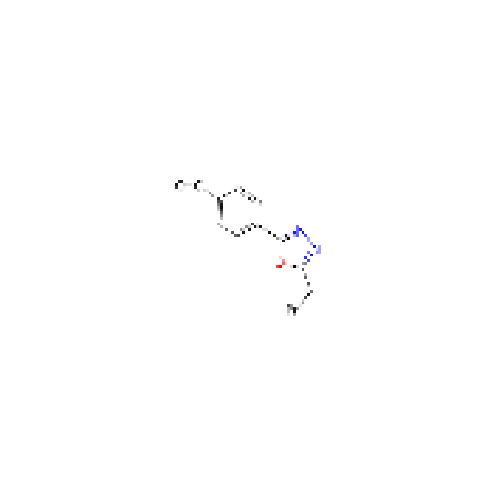 CC(C)Cc1nnc(-c2ccc(C=O)cc2)o1